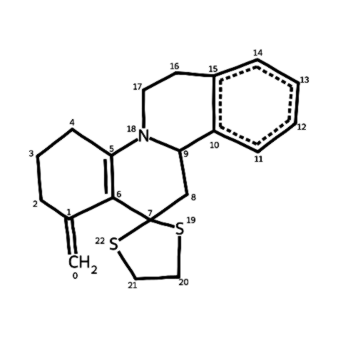 C=C1CCCC2=C1C1(CC3c4ccccc4CCN23)SCCS1